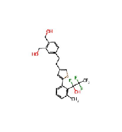 Cc1cccc(-c2cc(CCc3ccc(CO)c(CO)c3)cs2)c1C(O)(F)C(F)(F)C(F)(F)F